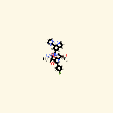 C[C@]1(C(N)=O)COc2c1cc([C@@](O)(CNC(=O)c1cc(-c3ncccn3)c3ncccc3c1)C(F)(F)F)nc2-c1ccc(F)cc1